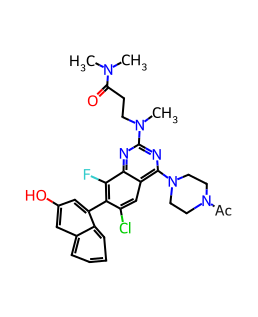 CC(=O)N1CCN(c2nc(N(C)CCC(=O)N(C)C)nc3c(F)c(-c4cc(O)cc5ccccc45)c(Cl)cc23)CC1